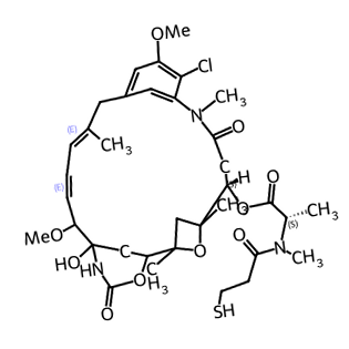 COc1cc2cc(c1Cl)N(C)C(=O)C[C@H](OC(=O)[C@H](C)N(C)C(=O)CCS)C1(C)CC(C)(O1)C1CC(O)(NC(=O)O1)C(OC)/C=C/C=C(\C)C2